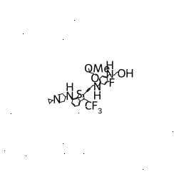 COCCOc1cc(NCCO)c(F)cc1NCC#Cc1sc2c(NC3CCN(C4CC4)CC3)cccc2c1CC(F)(F)F